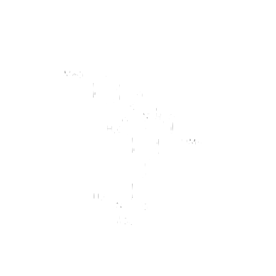 CCCCCCCCN(C)C(=O)CCc1cc(C)c(N(C)S(=O)(=O)c2ccc(OC)cc2)c(C(=O)OC)c1